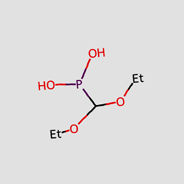 CCOC(OCC)P(O)O